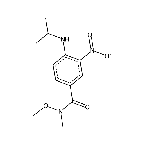 CON(C)C(=O)c1ccc(NC(C)C)c([N+](=O)[O-])c1